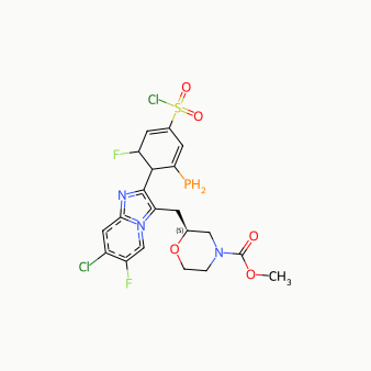 COC(=O)N1CCO[C@@H](Cc2c(C3C(P)=CC(S(=O)(=O)Cl)=CC3F)nc3cc(Cl)c(F)cn23)C1